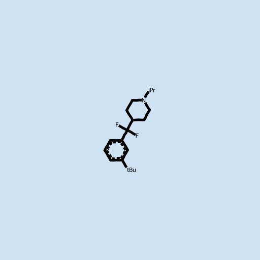 CC(C)N1CCC(C(F)(F)c2cccc(C(C)(C)C)c2)CC1